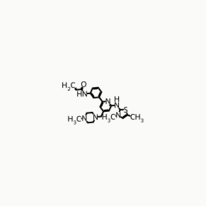 C=CC(=O)Nc1cccc(-c2cc(CN3CCN(C)CC3)cc(NC3SC(C)=CN3C)n2)c1